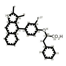 Cc1sc2cc3ccccc3c(-c3ccc(O[C@H](Cc4ccccc4)C(=O)O)c(F)c3)c2c1C